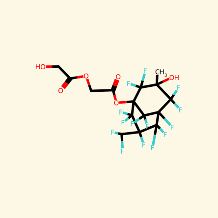 CC1(O)C(F)(F)C2(F)C(F)(F)C(F)(C(F)F)C(F)(F)C(OC(=O)COC(=O)CO)(C1(F)F)C2(F)F